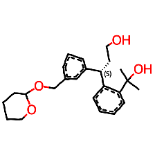 CC(C)(O)c1ccccc1[C@@H](CCO)c1cccc(COC2CCCCO2)c1